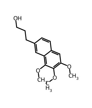 COc1cc2ccc(CCCO)cc2c(OC)c1OC